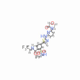 Cc1nc(Nc2cccc(N3CCOCC3=O)n2)sc1-c1cc2c(c(S(=O)(=O)NC(C)C)c1)C(=O)N([C@@H](C)C(F)(F)F)C2